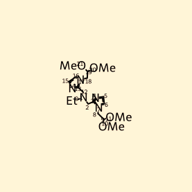 CCN(Cc1nccn1CC(OC)OC)Cc1nccn1CC(OC)OC